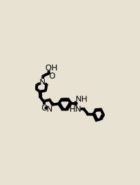 N=C(NCCc1ccccc1)c1ccc(C2=NOC(C=C3CCN(CC(=O)O)CC3)C2)cc1